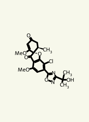 COC1=CC(=O)C[C@@H](C)[C@]12Oc1c(Cl)c(-c3nc(C(C)(C)O)no3)cc(OC)c1C2=O